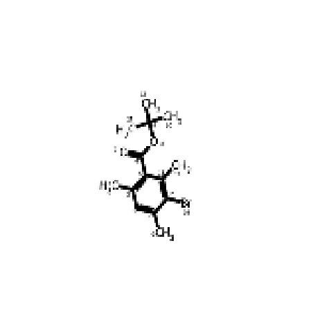 Cc1cc(C)c(C(=O)OC(C)(C)C)c(C)c1Br